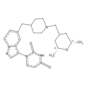 C[C@@H]1CC(CN2CCC(Cc3ccn4ncc(-n5ccc(=O)[nH]c5=O)c4c3)CC2)C[C@H](C)O1